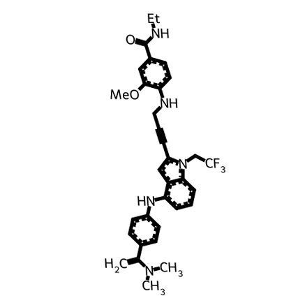 C=C(c1ccc(Nc2cccc3c2cc(C#CCNc2ccc(C(=O)NCC)cc2OC)n3CC(F)(F)F)cc1)N(C)C